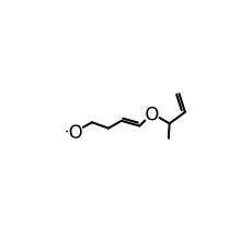 C=CC(C)OC=CCC[O]